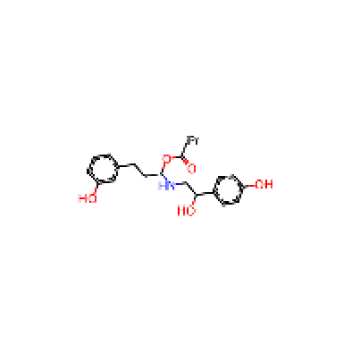 CC(C)C(=O)O[C@H](CCc1cccc(O)c1)NCC(O)c1ccc(O)cc1